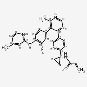 C=CC(=O)NC1(c2ccc(-c3ncnc(N)c3-c3ccc(Oc4nccc(C)n4)c(F)c3)cn2)CC1